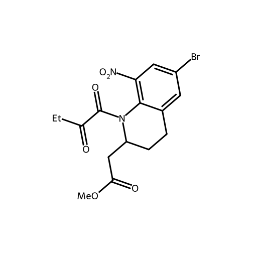 CCC(=O)C(=O)N1c2c(cc(Br)cc2[N+](=O)[O-])CCC1CC(=O)OC